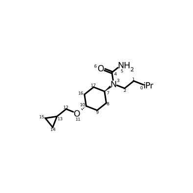 CC(C)CCN(C(N)=O)[C@H]1CC[C@H](OCC2CC2)CC1